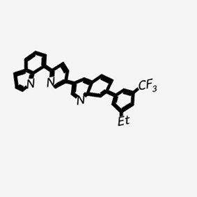 CCc1cc(-c2ccc3cc(-c4ccc(-c5cccc6cccnc56)nc4)cnc3c2)cc(C(F)(F)F)c1